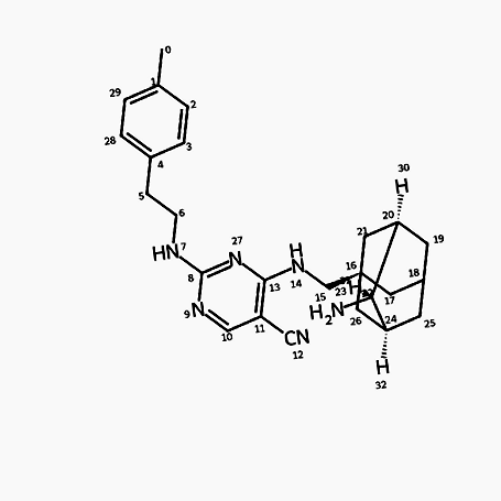 Cc1ccc(CCNc2ncc(C#N)c(NC[C@]34CC5C[C@H](C3)[C@@H](N)[C@@H](C5)C4)n2)cc1